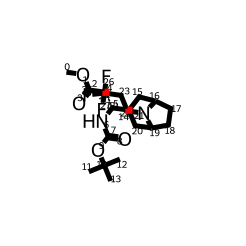 COC(=O)C[C@@H](NC(=O)OC(C)(C)C)C1CC2CCC(C1)N2CCC(F)(F)F